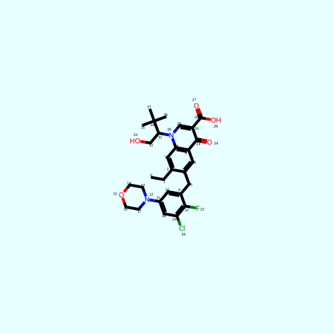 CCc1cc2c(cc1Cc1cc(N3CCOCC3)cc(Cl)c1F)c(=O)c(C(=O)O)cn2C(CO)C(C)(C)C